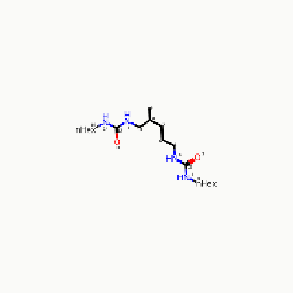 CCCCCCNC(=O)NCCCC(C)CNC(=O)NCCCCCC